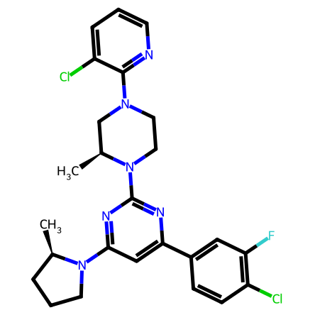 C[C@@H]1CCCN1c1cc(-c2ccc(Cl)c(F)c2)nc(N2CCN(c3ncccc3Cl)C[C@@H]2C)n1